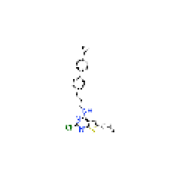 Cc1cc2c(NCCCc3ccc(-c4ccc(C5CC5)cc4)cc3)nc(Cl)nc2s1